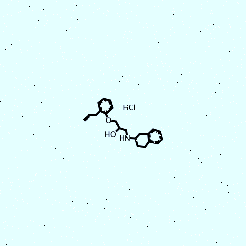 C=CCc1ccccc1OCC(O)CNC1CCc2ccccc2C1.Cl